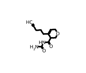 C#CCCCC1=CCOCC1C(=O)NC(N)=O